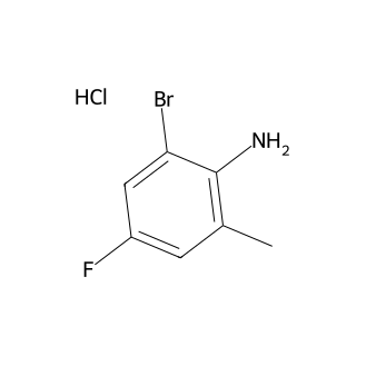 Cc1cc(F)cc(Br)c1N.Cl